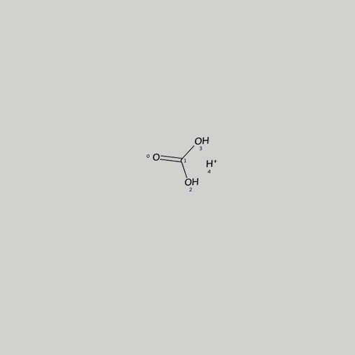 O=C(O)O.[H+]